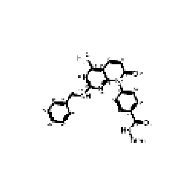 CCCCCCCCNC(=O)c1ccc(-n2c(=O)ccc3c(C)nc(NCc4ccccc4)nc32)cc1